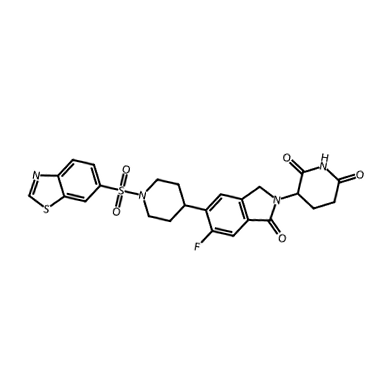 O=C1CCC(N2Cc3cc(C4CCN(S(=O)(=O)c5ccc6ncsc6c5)CC4)c(F)cc3C2=O)C(=O)N1